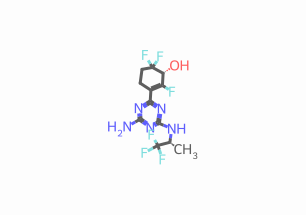 C[C@@H](Nc1nc(N)nc(C2=C(F)[C@@H](O)C(F)(F)CC2)n1)C(F)(F)F